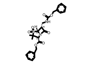 CC1(C)[C@H](C(=O)OCc2ccccc2)N2C(=O)[C@@H](CNC(=O)OCc3ccccc3)[C@H]2S1(=O)=O